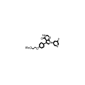 COCCOc1ccc(-c2cn(-c3cncc(F)c3)c3nc[nH]c(=O)c23)cc1